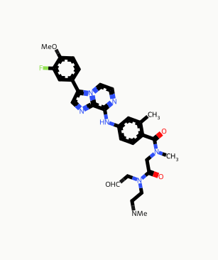 CNCCN(CC=O)C(=O)CN(C)C(=O)c1ccc(Nc2nccn3c(-c4ccc(OC)c(F)c4)cnc23)cc1C